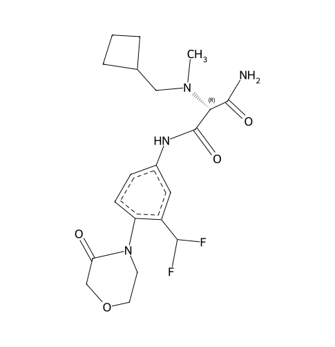 CN(CC1CCC1)[C@H](C(N)=O)C(=O)Nc1ccc(N2CCOCC2=O)c(C(F)F)c1